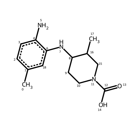 Cc1ccc(N)c(NC2CCN(C(=O)O)CC2C)c1